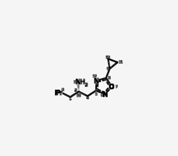 CC(C)C[C@H](N)Cc1noc(C2CC2)n1